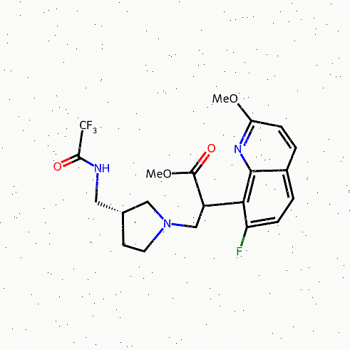 COC(=O)C(CN1CC[C@H](CNC(=O)C(F)(F)F)C1)c1c(F)ccc2ccc(OC)nc12